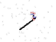 CCC=CCC=CCC=CCC=CCC=CCCCCOC(CC)C(=O)NCCNC(=O)O